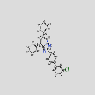 Clc1cccc(-c2ccc(-c3nc4c(-c5ccccc5)cc(-c5ccccc5)cn4n3)cc2)c1